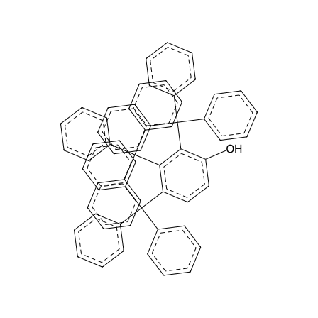 Oc1ccc(C(c2ccccc2)(c2ccccc2)c2ccccc2)c(C(c2ccccc2)(c2ccccc2)c2ccccc2)c1C(c1ccccc1)(c1ccccc1)c1ccccc1